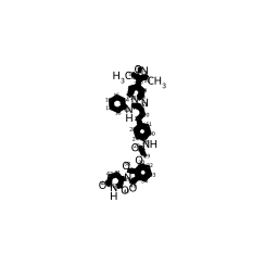 Cc1noc(C)c1-c1ccn2c(NC3CCCCC3)c(CCc3ccc(NC(=O)COc4cccc5c4C(=O)N(C4CCC(=O)NC4=O)C5=O)cc3)nc2c1